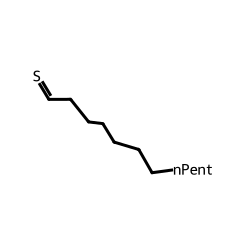 [CH2]CCCCCCCCCCC=S